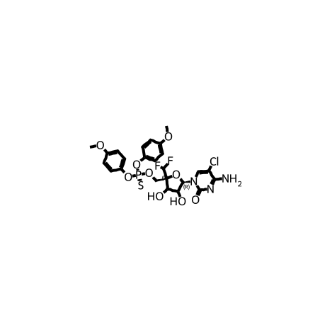 COc1ccc(OP(=S)(OC[C@@]2(C(F)F)O[C@@H](n3cc(Cl)c(N)nc3=O)C(O)C2O)Oc2ccc(OC)cc2)cc1